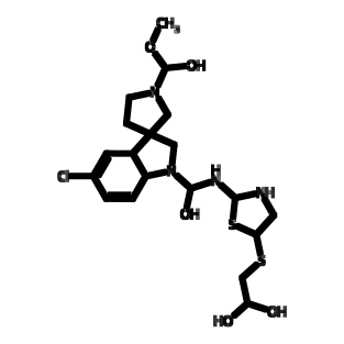 COC(O)N1CCC2(C1)CN(C(O)NC1NCC(SCC(O)O)S1)C1C=CC(Cl)=CC12